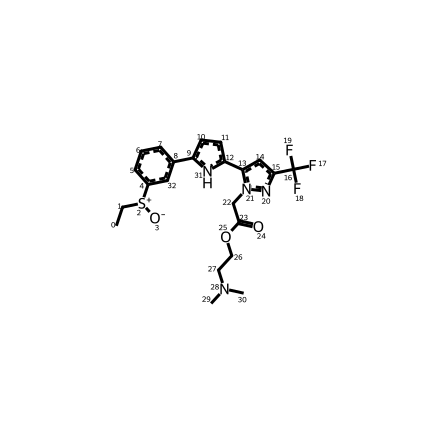 CC[S+]([O-])c1cccc(-c2ccc(-c3cc(C(F)(F)F)nn3CC(=O)OCCN(C)C)[nH]2)c1